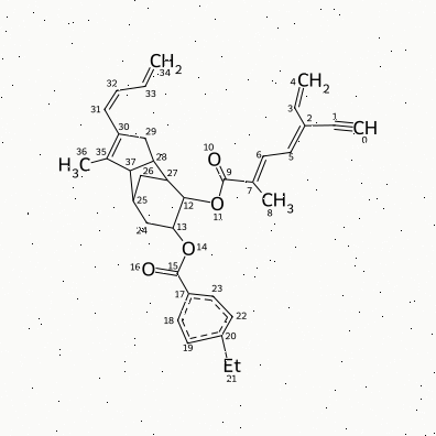 C#C/C(C=C)=C/C=C(\C)C(=O)OC1C(OC(=O)c2ccc(CC)cc2)CC2CC1C1CC(/C=C\C=C)=C(C)C21